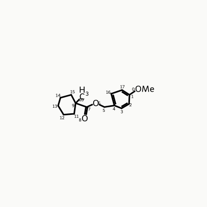 COc1ccc(COC(=O)C2(C)CCCCC2)cc1